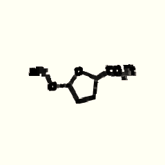 CCCOC1CCC(C(=O)OCC)O1